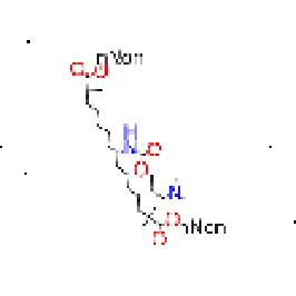 CCCCCCCCCOC(=O)C(C)(C)CCCCCC(CCCCCC(C)(C)C(=O)OCCCCCCCCC)NC(=O)OCCCN(C)C